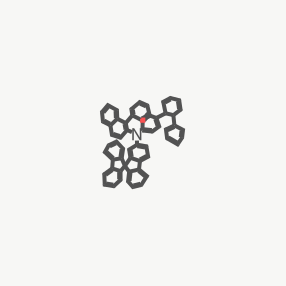 C1=CC(c2ccccc2)C(c2ccc(N(c3ccc4c(c3)C3(c5ccccc5-c5ccccc53)c3ccccc3-4)c3ccc4ccccc4c3-c3ccccc3)cc2)C=C1